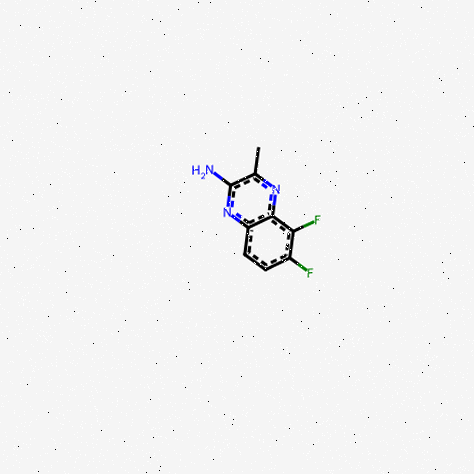 Cc1nc2c(F)c(F)ccc2nc1N